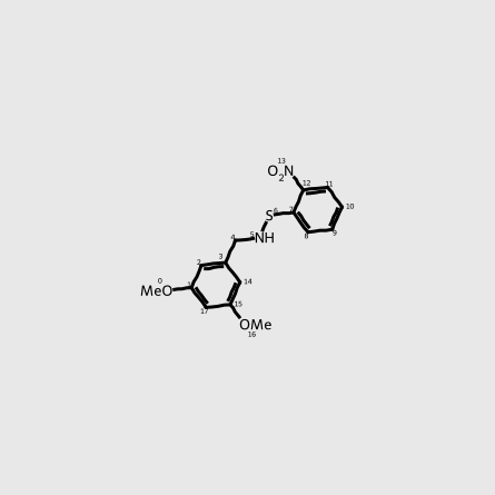 COc1cc(CNSc2ccccc2[N+](=O)[O-])cc(OC)c1